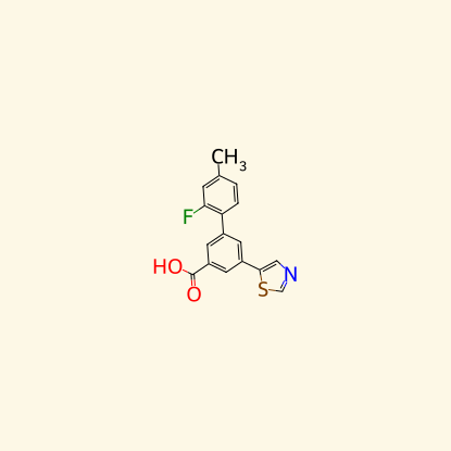 Cc1ccc(-c2cc(C(=O)O)cc(-c3cncs3)c2)c(F)c1